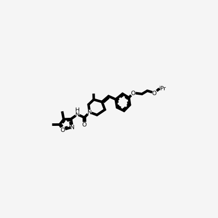 Cc1onc(NC(=O)N2CCC(=Cc3cccc(OCCOC(C)C)c3)C(C)C2)c1C